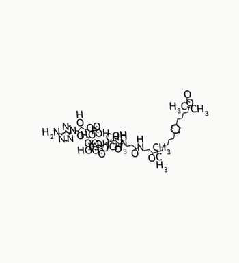 CC(C)(CCCCc1ccc(CCCCCC(C)(C)C(=O)CCNC(=O)CCNC(=O)C(O)C(C)(C)COP(=O)(O)OP(=O)(O)OCC2OC(n3cnc4c(N)ncnc43)C(O)C2OP(=O)(O)O)cc1)OC=O